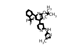 Cn1cnc(Nc2cc(-c3cc(OC(C)(C)C)nc(-c4ccccc4C(F)(F)F)c3)ccn2)c1